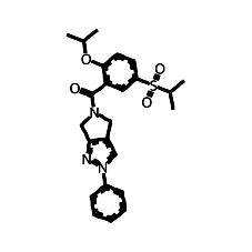 CC(C)Oc1ccc(S(=O)(=O)C(C)C)cc1C(=O)N1Cc2cn(-c3ccccc3)nc2C1